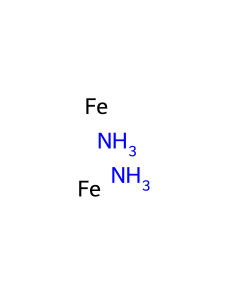 N.N.[Fe].[Fe]